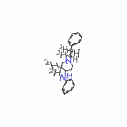 [2H]C1([2H])CN(C([2H])([2H])C([2H])([2H])c2ccccc2)CCC1Nc1ccccc1